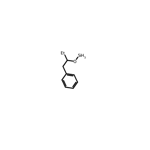 CCC(Cc1ccccc1)O[SiH3]